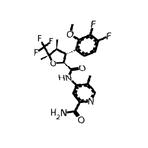 COc1c([C@@H]2[C@@H](C(=O)Nc3cc(C(N)=O)ncc3C)O[C@](C)(C(F)(F)F)[C@H]2C)ccc(F)c1F